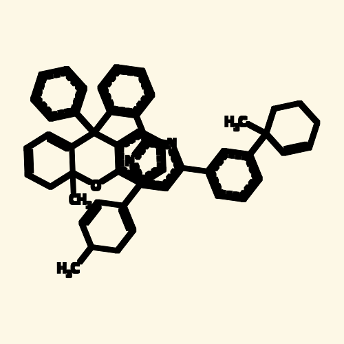 CC1C=CC(c2cc(-c3cccc(C4(C)C=CCCC4)c3)nc(-c3ccccc3C3(c4ccccc4)C4=CC=CCC4(C)Oc4ccccc43)n2)=CC1